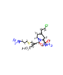 NCCCSC[C@H](CC(=O)O)C(=O)N1CCC(CCCl)CC1C(N)=O